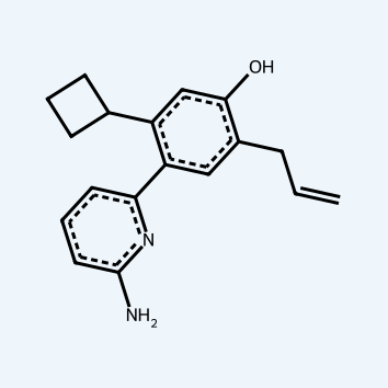 C=CCc1cc(-c2cccc(N)n2)c(C2CCC2)cc1O